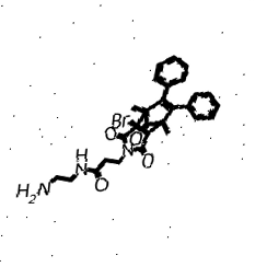 CC12C(=O)C(C)(C(c3ccccc3)=C1c1ccccc1)C1(Br)C(=O)N(CCC(=O)NCCN)C(=O)C21